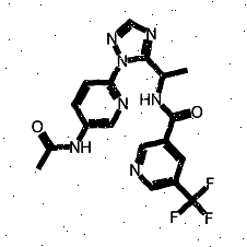 CC(=O)Nc1ccc(-n2ncnc2C(C)NC(=O)c2cncc(C(F)(F)F)c2)nc1